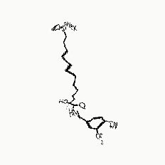 CCCCCC[S+]([O-])CCCCCCCCCCC[C@](C)(O)C(=O)Nc1ccc(C#N)c(C(F)(F)F)c1